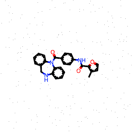 Cc1ccoc1C(=O)Nc1ccc(C(=O)N2c3ccccc3CNc3ccccc32)cc1